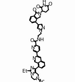 CCc1nc(-c2cccc3cc(-c4ccc(C(=O)NCCn5cc(-c6cccc7c6CN(C6CCC(=O)NC6=O)C7=O)cn5)nc4)ncc23)c2n1CCN(C(C)=O)C2